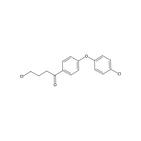 O=C(CCCCl)c1ccc(Oc2ccc(Cl)cc2)cc1